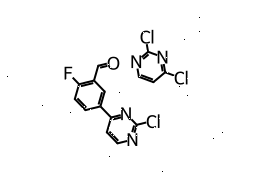 Clc1ccnc(Cl)n1.O=Cc1cc(-c2ccnc(Cl)n2)ccc1F